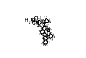 C[Si](C)(C)c1ccc(N(c2ccccc2)c2ccc3c4c(ccc3c2)-c2cc3ccccc3cc2C42c3ccccc3-c3ccccc32)cc1